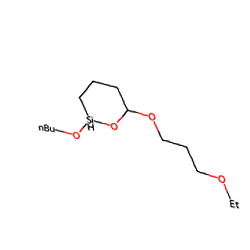 CCCCO[SiH]1CCCC(OCCCOCC)O1